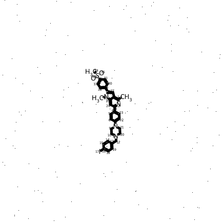 Cc1nc(-c2ccc(N3CCN(Cc4ccc(I)cc4)CC3)cc2)cc2c1cc(-c1ccc(S(C)(=O)=O)cc1)n2C